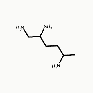 CC(N)CCC(N)CN